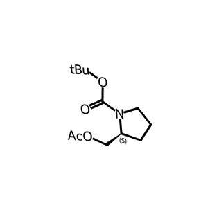 CC(=O)OC[C@@H]1CCCN1C(=O)OC(C)(C)C